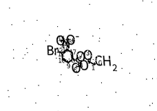 C=CC(=O)OS(=O)(=O)c1ccc(Br)c([N+](=O)[O-])c1